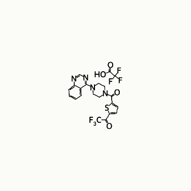 O=C(O)C(F)(F)F.O=C(c1ccc(C(=O)C(F)(F)F)s1)N1CCN(c2ncnc3ccccc23)CC1